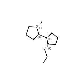 CCC[P@@]1CCC[C@@H]1[C@H]1CCC[P@]1C